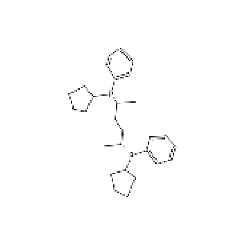 CC(CCC(C)[P@](c1ccccc1)C1CCCC1)P(c1ccccc1)C1CCCC1